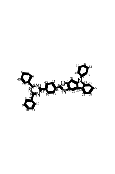 c1ccc(-c2nc(-c3ccccc3)nc(-c3ccc(-c4nc5cc6c7ccccc7n(-c7ccccc7)c6cc5o4)cc3)n2)cc1